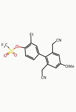 CCc1cc(-c2c(CC#N)cc(OC)cc2CC#N)ccc1OS(=O)(=O)C(F)(F)F